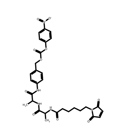 CC(NC(=O)CCCCCN1C(=O)C=CC1=O)C(=O)NC(C)C(=O)Nc1ccc(COC(=O)Oc2ccc([N+](=O)[O-])cc2)cc1